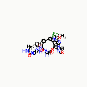 CO[C@@H](C)c1ncc(N2CCN3CCOC[C@@H]3C2)cc1-c1c2c3cc(ccc3n1CC(F)(F)F)-c1cccc(c1)C[C@H](NC(=O)C(C(C)C)N1CC[C@]3(CCN(C(=O)[C@@H]4NC4C4CC4)C3)C1)C(=O)N1CCC[C@H](N1)C(=O)OCC(C)(C)C2